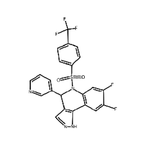 O=S(=O)(c1ccc(C(F)(F)F)cc1)N1c2cc(F)c(F)cc2-c2[nH]ncc2C1c1cccnc1